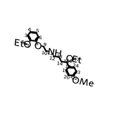 CCOc1ccccc1OCCNCCCC(OCC)c1ccc(OC)cc1